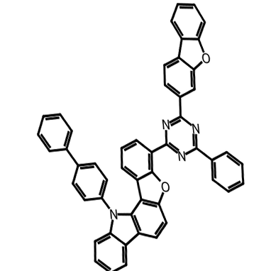 c1ccc(-c2ccc(-n3c4ccccc4c4ccc5oc6c(-c7nc(-c8ccccc8)nc(-c8ccc9c(c8)oc8ccccc89)n7)cccc6c5c43)cc2)cc1